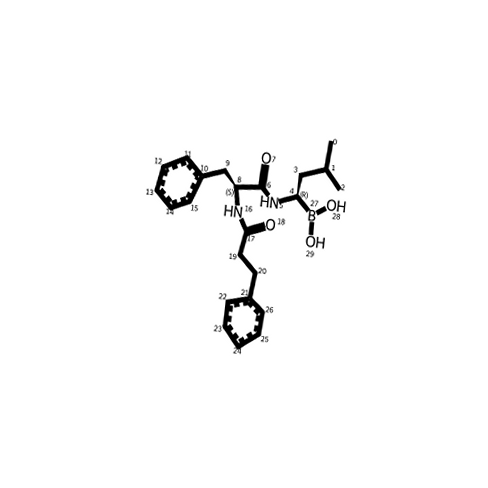 CC(C)C[C@H](NC(=O)[C@H](Cc1ccccc1)NC(=O)CCc1ccccc1)B(O)O